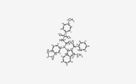 Cc1ccc(S(=O)(=O)NC(=O)C(c2ccc3c(c2)OCO3)c2c(C(=O)c3ccccn3)n(C)c3ccccc23)cc1